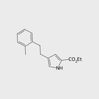 CCOC(=O)c1cc(CCc2ccccc2C)c[nH]1